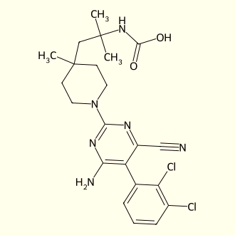 CC1(CC(C)(C)NC(=O)O)CCN(c2nc(N)c(-c3cccc(Cl)c3Cl)c(C#N)n2)CC1